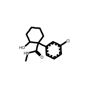 CNC(=O)C1(c2cccc(Cl)c2)CCCCC1O